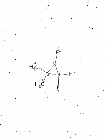 CCC1C(C)(C)C1(F)F